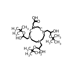 CC(C)(C)OC(O)CN1CCN(CC(=O)O)CCN(CC(O)OC(C)(C)C)CCN(CC(O)OC(C)(C)C)CC1